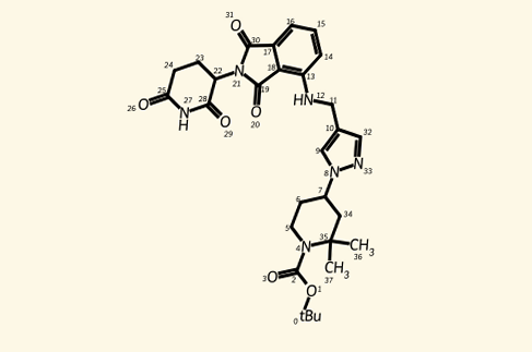 CC(C)(C)OC(=O)N1CCC(n2cc(CNc3cccc4c3C(=O)N(C3CCC(=O)NC3=O)C4=O)cn2)CC1(C)C